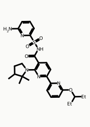 CCC(CC)Oc1cccc(-c2ccc(C(=O)NS(=O)(=O)c3cccc(N)n3)c(N3CCC(C)C3(C)C)n2)n1